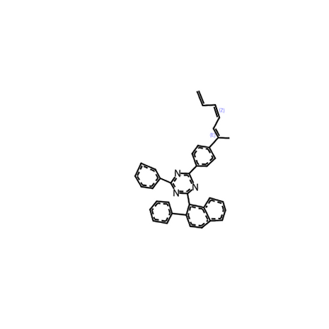 C=C/C=C\C=C(/C)c1ccc(-c2nc(-c3ccccc3)nc(-c3c(-c4ccccc4)ccc4ccccc34)n2)cc1